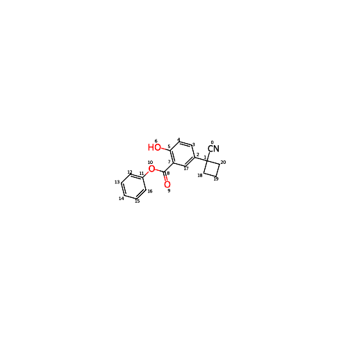 N#CC1(c2ccc(O)c(C(=O)Oc3ccccc3)c2)CCC1